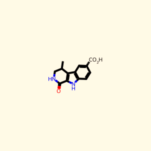 CC1CNC(=O)c2[nH]c3ccc(C(=O)O)cc3c21